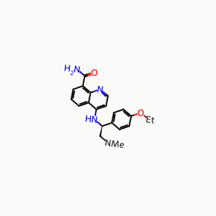 CCOc1ccc([C@@H](CNC)Nc2ccnc3c(C(N)=O)cccc23)cc1